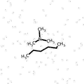 CCCCCC.CN(C)C